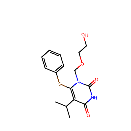 CC(C)c1c(Sc2ccccc2)n(COCCO)c(=O)[nH]c1=O